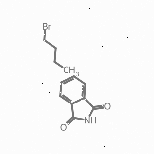 CCCCBr.O=C1NC(=O)c2ccccc21